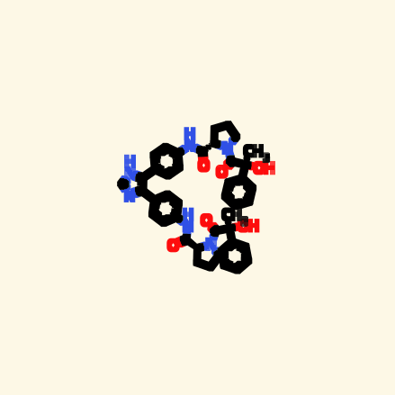 C[C@](O)(C(=O)N1CCC[C@H]1C(=O)Nc1ccc(-c2nc[nH]c2-c2ccc(NC(=O)[C@@H]3CCCN3C(=O)[C@](C)(O)c3ccccc3)cc2)cc1)c1ccccc1